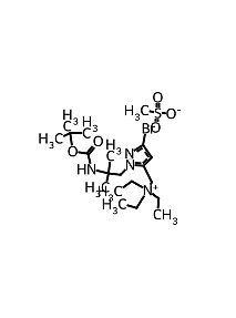 CC[N+](CC)(CC)Cc1cc(Br)nn1CC(C)(C)NC(=O)OC(C)(C)C.CS(=O)(=O)[O-]